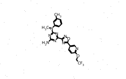 Cc1cccc(N(C)c2nc(N)nc(-c3noc(-c4ccc(OCC(F)(F)F)nc4)n3)n2)c1